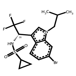 CC(C)Cn1cc([C@H](NS(=O)(=O)C2CC2)C(F)(F)F)c2ccc(Br)cc21